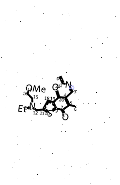 C=C/N=C\C1=C(C)C(=O)c2sc(CN(CC)CCOC)cc2C1=O